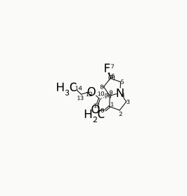 C=C1CCN2C[C@H](F)C[C@]12C(=O)OCC